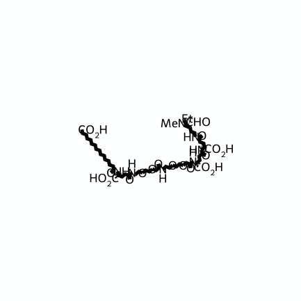 CC[C@@](C=O)(CCCCNC(=O)CC[C@H](NC(=O)CC[C@H](NC(=O)COCCOCCNC(=O)COCCOCCNC(=O)CC[C@H](NC(=O)CCCCCCCCCCCCCCC(=O)O)C(=O)O)C(=O)O)C(=O)O)NC